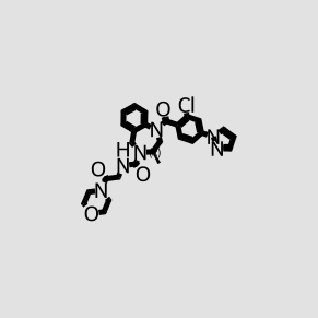 C[C@@H]1CN(C(=O)c2ccc(-n3cccn3)cc2Cl)c2ccccc2CN1C(=O)NCC(=O)N1CCOCC1